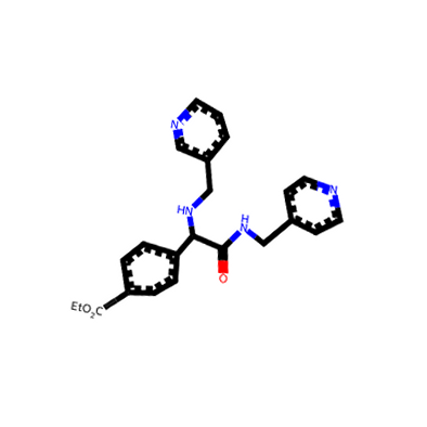 CCOC(=O)c1ccc(C(NCc2cccnc2)C(=O)NCc2ccncc2)cc1